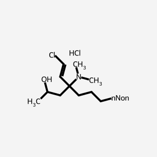 CCCCCCCCCCCCC(C=CCl)(CC(C)O)N(C)C.Cl